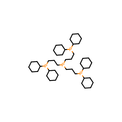 C1CCC(P(CCCP(CCCP(C2CCCCC2)C2CCCCC2)CCCP(C2CCCCC2)C2CCCCC2)C2CCCCC2)CC1